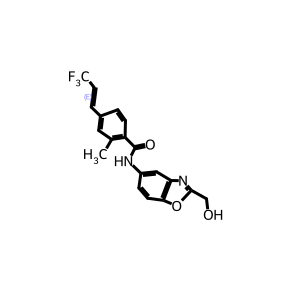 Cc1cc(/C=C/C(F)(F)F)ccc1C(=O)Nc1ccc2oc(CO)nc2c1